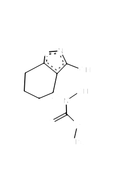 CN(C(=O)OC(C)(C)C)[C@@H]1CCCc2onc(O)c21